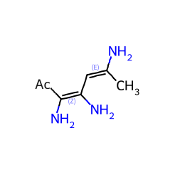 CC(=O)/C(N)=C(N)\C=C(/C)N